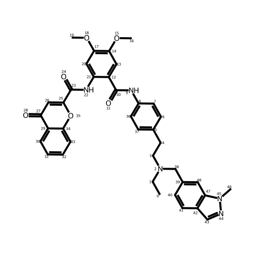 CCN(CCc1ccc(NC(=O)c2cc(OC)c(OC)cc2NC(=O)c2cc(=O)c3ccccc3o2)cc1)Cc1ccc2cnn(C)c2c1